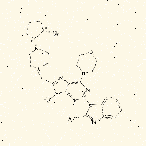 Cc1nc2ccccc2n1-c1nc(N2CCOCC2)c2nc(CN3CCN([C@@H]4CCC[C@@H]4O)CC3)n(C)c2n1